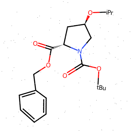 CC(C)O[C@@H]1C[C@@H](C(=O)OCc2ccccc2)N(C(=O)OC(C)(C)C)C1